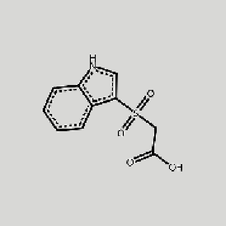 O=C(O)CS(=O)(=O)c1c[nH]c2ccccc12